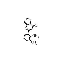 Cc1cccc(-c2cc(=O)c3ccccc3o2)c1N